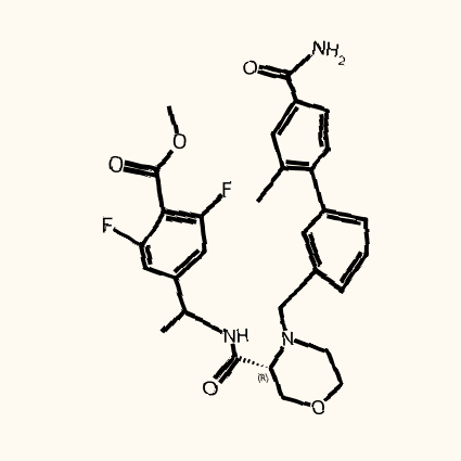 COC(=O)c1c(F)cc(C(C)NC(=O)[C@H]2COCCN2Cc2cccc(-c3ccc(C(N)=O)cc3C)c2)cc1F